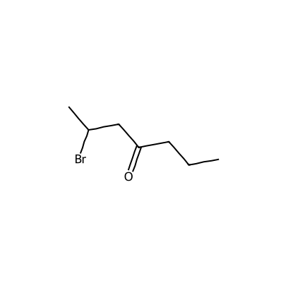 CCCC(=O)CC(C)Br